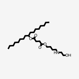 CCCCCCCCC(CCCCCCCC)OC(=O)CCC(=O)OCCCCNCCO